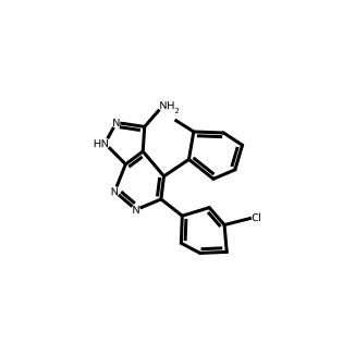 Cc1ccccc1-c1c(-c2cccc(Cl)c2)nnc2[nH]nc(N)c12